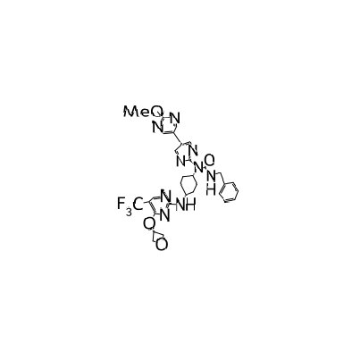 COc1ncc(-c2cnc(N(C(=O)NCc3ccccc3)[C@H]3CC[C@@H](Nc4ncc(C(F)(F)F)c(OC5COC5)n4)CC3)nc2)cn1